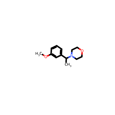 COc1cccc(C(C)N2CCOCC2)c1